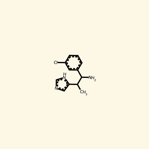 CC(c1cnc[nH]1)C(N)c1cccc(Cl)c1